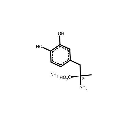 C[C@](N)(Cc1ccc(O)c(O)c1)C(=O)O.N